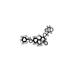 Cc1c(OC[C@@H]2COCCO2)cc(=O)n2c1-c1ccc(OCc3ccccc3)cc1CC2